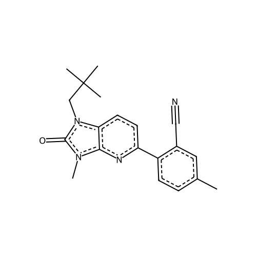 Cc1ccc(-c2ccc3c(n2)n(C)c(=O)n3CC(C)(C)C)c(C#N)c1